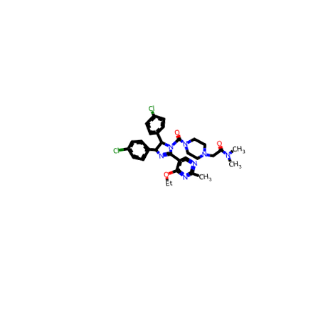 CCOc1nc(C)ncc1C1=NC(c2ccc(Cl)cc2)C(c2ccc(Cl)cc2)N1C(=O)N1CCN(CC(=O)N(C)C)CC1